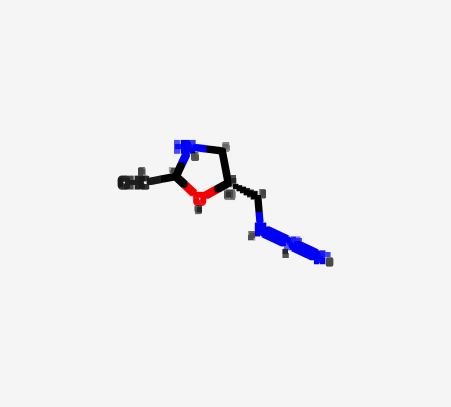 [N-]=[N+]=NC[C@H]1CNC(C=O)O1